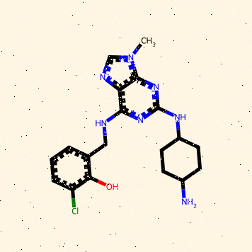 Cn1cnc2c(NCc3cccc(Cl)c3O)nc(NC3CCC(N)CC3)nc21